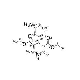 CCOC(=O)C1=C(C)NC(C)=C(C(=O)OCC)C1c1cccc(N)c1